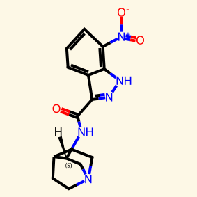 O=C(N[C@@H]1CN2CCC1CC2)c1n[nH]c2c([N+](=O)[O-])cccc12